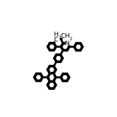 C=Cc1nc(-c2ccccc2)cc(-c2ccc(-c3ccc4c(-c5ccccc5)c5ccccc5c(-c5ccccc5)c4c3)cc2)c1-c1ccccc1C